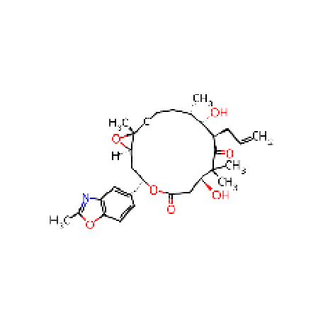 C=CC[C@H]1C(=O)C(C)(C)[C@@H](O)CC(=O)O[C@H](c2ccc3oc(C)nc3c2)C[C@H]2O[C@]2(C)CCC[C@H](C)[C@@H]1O